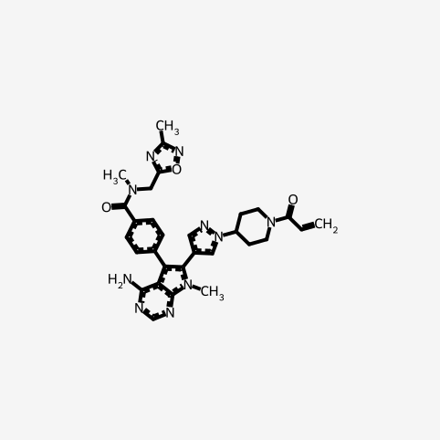 C=CC(=O)N1CCC(n2cc(-c3c(-c4ccc(C(=O)N(C)Cc5nc(C)no5)cc4)c4c(N)ncnc4n3C)cn2)CC1